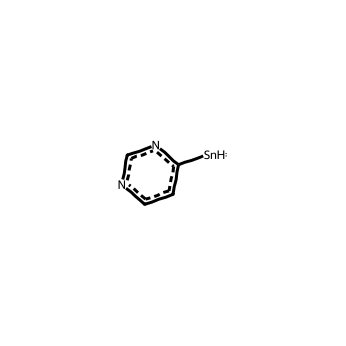 [SnH][c]1ccncn1